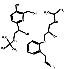 C=CCc1ccccc1OCC(O)CNC(C)C.CC(C)(C)NCC(O)c1ccc(O)c(CO)n1